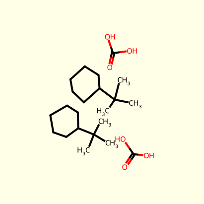 CC(C)(C)C1CCCCC1.CC(C)(C)C1CCCCC1.O=C(O)O.O=C(O)O